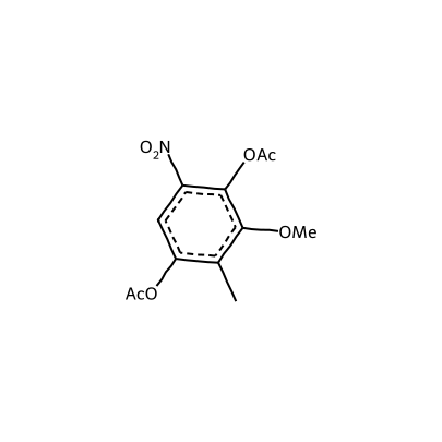 COc1c(C)c(OC(C)=O)cc([N+](=O)[O-])c1OC(C)=O